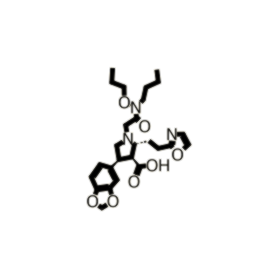 CCCCN(OCCC)C(=O)CN1C[C@H](c2ccc3c(c2)OCO3)[C@H](C(=O)O)[C@H]1CCc1ncco1